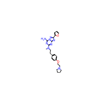 CN(CCc1ccc(OCCN2CCCC2)cc1)c1nc(N)n2nc(-c3ccco3)nc2n1